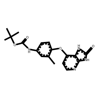 Cc1cc(NC(=O)OC(C)(C)C)ccc1Oc1ccnc2[nH]c(=O)[nH]c12